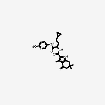 Cc1c(C(=O)NC(CCC2CC2)C(=O)Nc2ccc(C#N)nc2)[nH]c2c1C(=O)CC(C)(C)C2